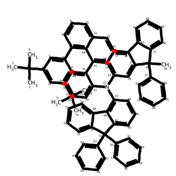 CC(C)(C)c1cc(-c2cccc3cccc(-c4ccccc4N(c4ccc5c(c4)C(C)(c4ccccc4)c4ccccc4-5)c4cccc5c4-c4ccccc4C5(c4ccccc4)c4ccccc4)c23)cc(C(C)(C)C)c1